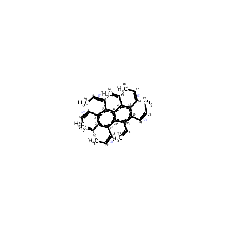 C=Cc1c(/C=C\C)c(/C=C\C)c2c(C=C)c(/C=C\C)c(/C=C\C)c(C=C)c2c1/C=C\C